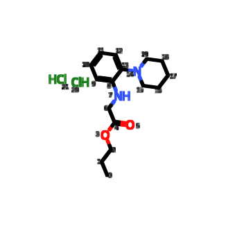 CCCOC(=O)CNc1ccccc1N1CCCCC1.Cl.Cl